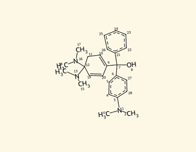 CN(C)c1ccc(C(O)(C2=CCC(N(C)C)(N(C)C)C=C2)c2ccccc2)cc1